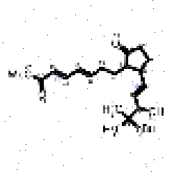 CCCCC(C)(C)C(O)/C=C/C1CCC(=O)C1CCC=C/C=C/C(=O)OC